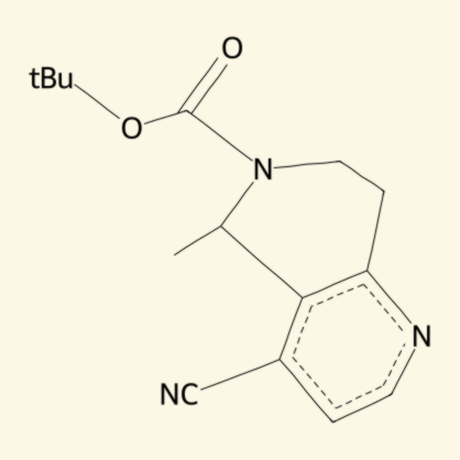 CC1c2c(C#N)ccnc2CCN1C(=O)OC(C)(C)C